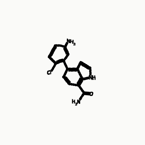 NC(=O)c1ccc(-c2cc(N)ccc2Cl)c2cc[nH]c12